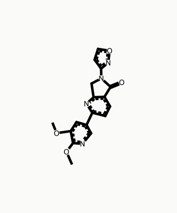 COc1cc(-c2ccc3c(n2)CN(c2ccon2)C3=O)cnc1OC